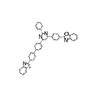 c1ccc(-c2nc(-c3ccc(-c4ccc(-c5nc6ccccc6s5)cc4)cc3)cc(-c3ccc(-c4nc5ccccc5o4)cc3)n2)cc1